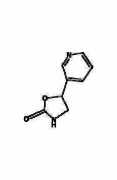 O=C1NCC(c2cccnc2)O1